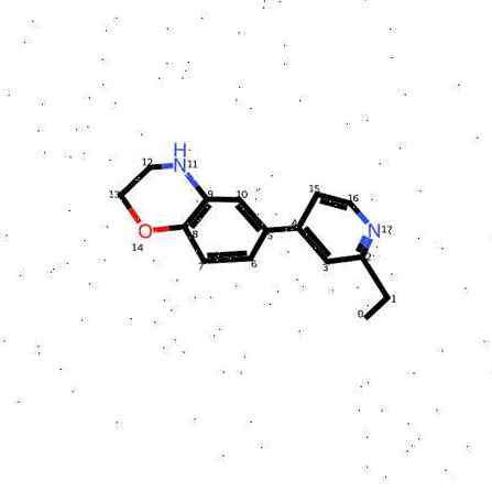 CCc1cc(-c2ccc3c(c2)NCCO3)ccn1